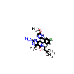 COc1cncc(-c2cc(F)ccc2[C@H]2Cc3nc(N)nc(C)c3C(=O)N2CCC(C)C)n1